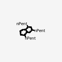 CCCCCc1cc(CCCCC)c2cccc(CCCCC)c2c1